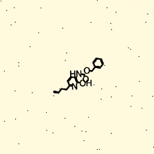 C=CCCc1ccc(NC(=O)OCc2ccccc2)c(O)n1